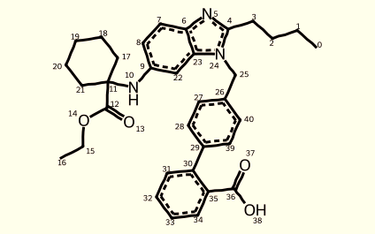 CCCCc1nc2ccc(NC3(C(=O)OCC)CCCCC3)cc2n1Cc1ccc(-c2ccccc2C(=O)O)cc1